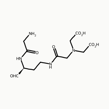 NCC(=O)N[C@H](C=O)CCNC(=O)CN(CC(=O)O)CC(=O)O